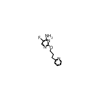 Nc1nc(OCCCc2ccccn2)ncc1F